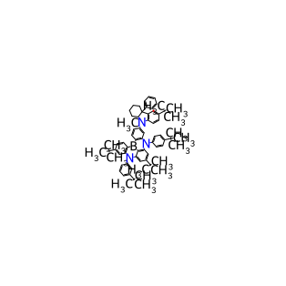 CC(C)(C)c1ccc(N2c3cc(N4c5ccc(C(C)(C)C)cc5C5(c6ccccc6)CCCCC45C)ccc3B3c4ccc(C(C)(C)C)cc4N(c4cccc(C(C)(C)C)c4)c4cc(C(C)(C)C)cc2c43)cc1